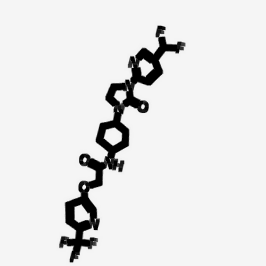 O=C(COc1ccc(C(F)(F)F)nc1)NC1CCC(N2CCN(c3ccc(C(F)F)cn3)C2=O)CC1